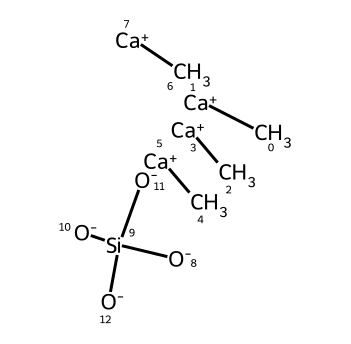 [CH3][Ca+].[CH3][Ca+].[CH3][Ca+].[CH3][Ca+].[O-][Si]([O-])([O-])[O-]